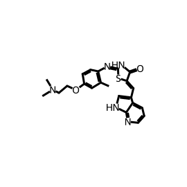 Cc1cc(OCCN(C)C)ccc1/N=C1/NC(=O)/C(=C/c2c[nH]c3ncccc23)S1